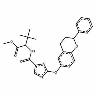 COC(=O)C(NC(=O)c1cnc(Oc2ccc3c(c2)CCC(c2ccccc2)O3)s1)C(C)(C)C